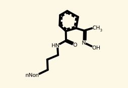 CCCCCCCCCCCCNC(=O)c1ccccc1C(C)=NO